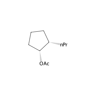 CCC[C@H]1CCC[C@H]1OC(C)=O